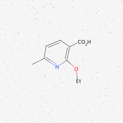 CCOc1nc(C)ccc1C(=O)O